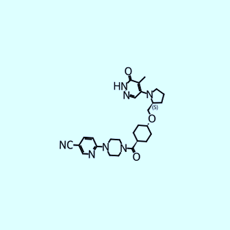 Cc1c(N2CCC[C@H]2CO[C@H]2CC[C@H](C(=O)N3CCN(c4ccc(C#N)cn4)CC3)CC2)cn[nH]c1=O